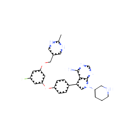 Cc1ncc(COc2cc(F)cc(Oc3ccc(-c4cn([C@@H]5CCCNC5)c5ncnc(N)c45)cc3)c2)cn1